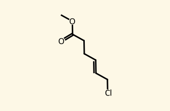 COC(=O)CCC=CCCl